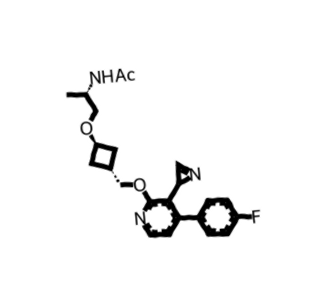 CC(=O)N[C@@H](C)CO[C@H]1C[C@H](COc2nccc(-c3ccc(F)cc3)c2C2C=N2)C1